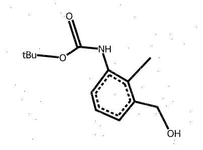 Cc1c(CO)cccc1NC(=O)OC(C)(C)C